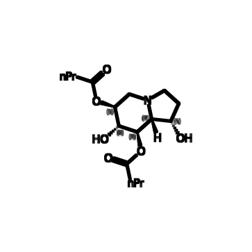 CCCC(=O)O[C@H]1[C@H](O)[C@@H](OC(=O)CCC)CN2CC[C@H](O)[C@H]12